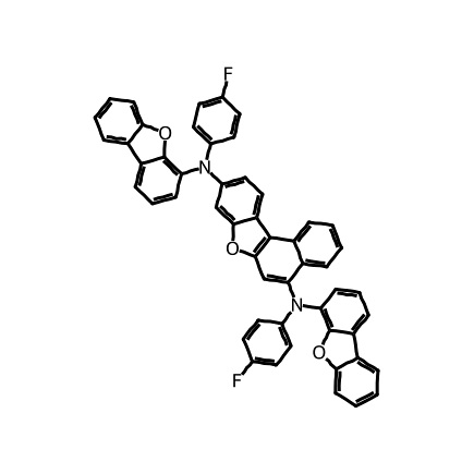 Fc1ccc(N(c2ccc3c(c2)oc2cc(N(c4ccc(F)cc4)c4cccc5c4oc4ccccc45)c4ccccc4c23)c2cccc3c2oc2ccccc23)cc1